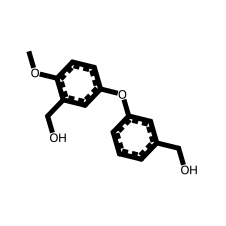 COc1ccc(Oc2cccc(CO)c2)cc1CO